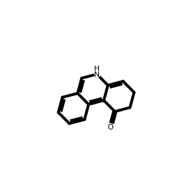 O=C1CCC=C2NC=c3ccccc3=C12